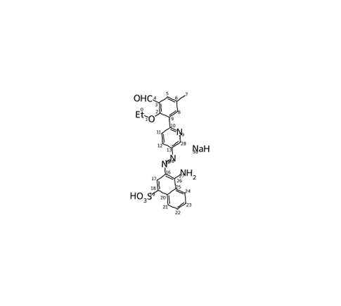 CCOc1c(C=O)cc(C)cc1-c1ccc(N=Nc2cc(S(=O)(=O)O)c3ccccc3c2N)cn1.[NaH]